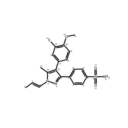 CC=Cn1nc(-c2ccc(S(N)(=O)=O)cc2)c(-c2ccc(OC)c(F)c2)c1C